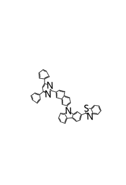 c1ccc(-c2cc(-c3ccccc3)nc(-c3ccc4ccc(-n5c6ccccc6c6ccc(-c7nc8ccccc8s7)cc65)cc4c3)n2)cc1